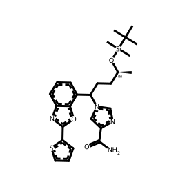 C[C@@H](CCC(c1cccc2nc(-c3cccs3)oc12)n1cnc(C(N)=O)c1)O[Si](C)(C)C(C)(C)C